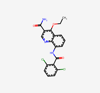 CCOc1c(C(N)=O)cnc2c(NC(=O)c3c(Cl)cccc3Cl)cccc12